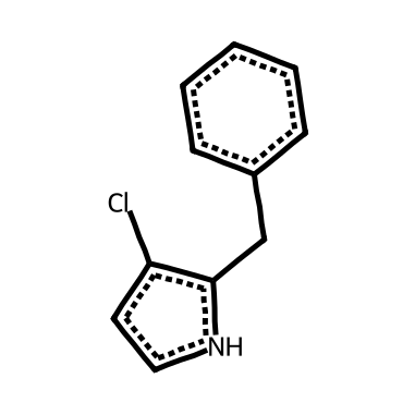 Clc1cc[nH]c1Cc1ccccc1